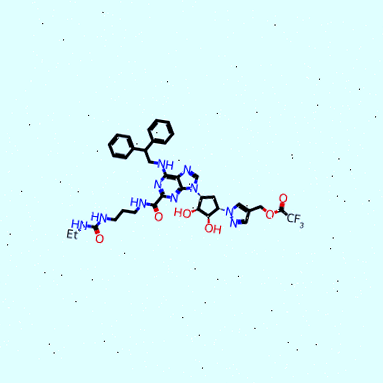 CCNC(=O)NCCCNC(=O)c1nc(NCC(c2ccccc2)c2ccccc2)c2ncn([C@@H]3C[C@H](n4cc(COC(=O)C(F)(F)F)cn4)[C@@H](O)[C@H]3O)c2n1